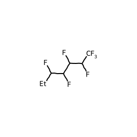 CCC(F)C(F)C(F)C(F)C(F)(F)F